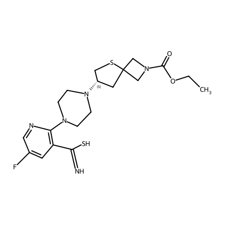 CCOC(=O)N1CC2(C[C@H](N3CCN(c4ncc(F)cc4C(=N)S)CC3)CS2)C1